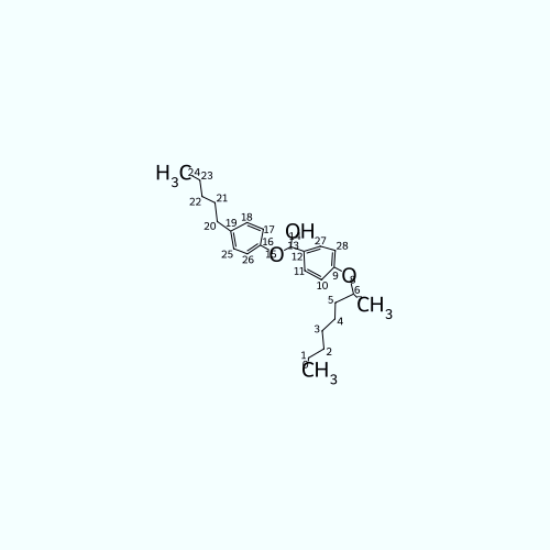 CCCCCCC(C)Oc1ccc(C(O)Oc2ccc(CCCCC)cc2)cc1